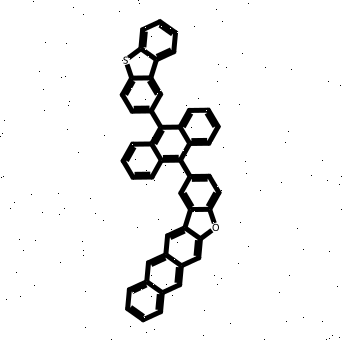 c1ccc2cc3cc4c(cc3cc2c1)oc1ccc(-c2c3ccccc3c(-c3ccc5sc6ccccc6c5c3)c3ccccc23)cc14